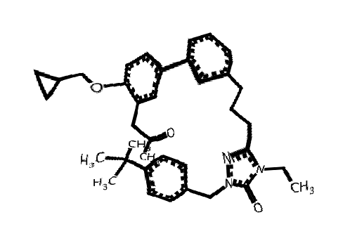 CCn1c(CCCc2cccc(-c3ccc(OCC4CC4)c(CC(C)=O)c3)c2)nn(Cc2ccc(C(C)(C)C)cc2)c1=O